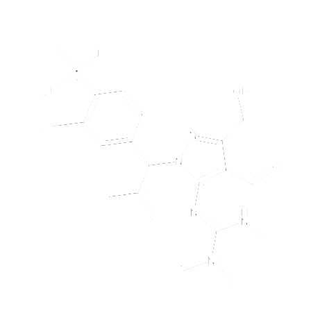 CN/C(=N\c1c(C=O)c(CO)nn1C(c1ccc(C(C)(F)F)c(F)c1)C(C)C)N(C)C